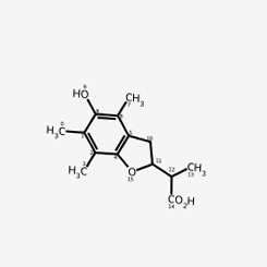 Cc1c(C)c2c(c(C)c1O)CC(C(C)C(=O)O)O2